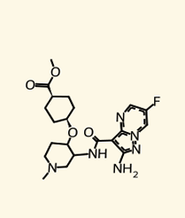 COC(=O)[C@H]1CC[C@@H](OC2CCN(C)CC2NC(=O)c2c(N)nn3cc(F)cnc23)CC1